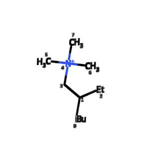 CCC(C)C(CC)C[N+](C)(C)C